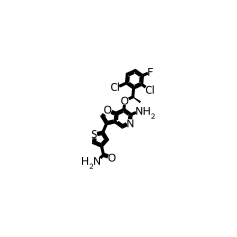 C[C@@H](Oc1c(N)ncc2c(-c3cc(C(N)=O)cs3)coc12)c1c(Cl)ccc(F)c1Cl